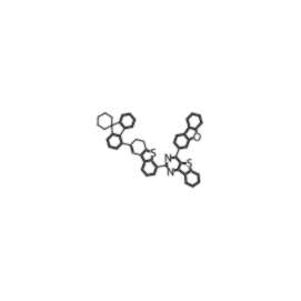 C1=C(c2cccc3c2-c2ccccc2C32CCCCC2)CCc2sc3c(-c4nc(-c5ccc6c(c5)oc5ccccc56)c5sc6ccccc6c5n4)cccc3c21